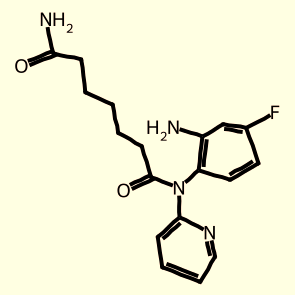 NC(=O)CCCCCC(=O)N(c1ccccn1)c1ccc(F)cc1N